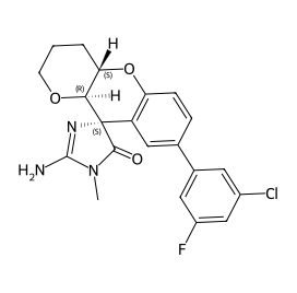 CN1C(=O)[C@]2(N=C1N)c1cc(-c3cc(F)cc(Cl)c3)ccc1O[C@H]1CCCO[C@@H]12